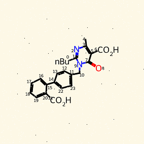 CCCCc1nc(C)c(C(=O)O)c(=O)n1Cc1ccc(-c2ccccc2C(=O)O)cc1